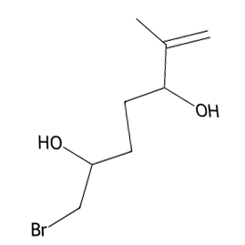 C=C(C)C(O)CCC(O)CBr